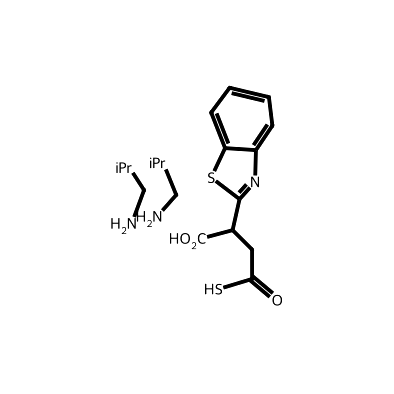 CC(C)CN.CC(C)CN.O=C(S)CC(C(=O)O)c1nc2ccccc2s1